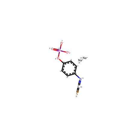 O=P([O-])([O-])Oc1ccc(N=C=S)cc1.[Na+].[Na+]